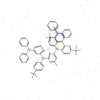 Cc1cc2c3c(c1)N(c1ccc(C(C)(C)C)cc1-c1ccc(C(C)(C)C)c(C(C)(C)C)c1)c1cc(N(c4ccccc4)c4ccccc4)ccc1B3c1ccc(N(c3ccccc3)c3ccccc3)cc1N2c1ccc(C(C)(C)C)cc1